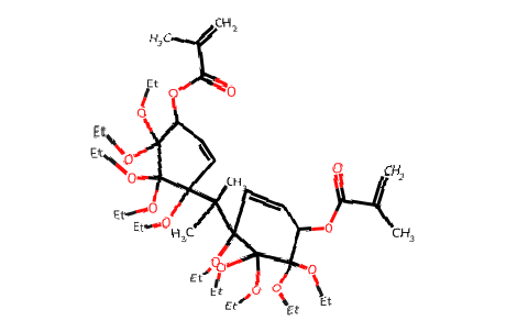 C=C(C)C(=O)OC1C=CC(OCC)(C(C)(C)C2(OCC)C=CC(OC(=O)C(=C)C)C(OCC)(OCC)C2(OCC)OCC)C(OCC)(OCC)C1(OCC)OCC